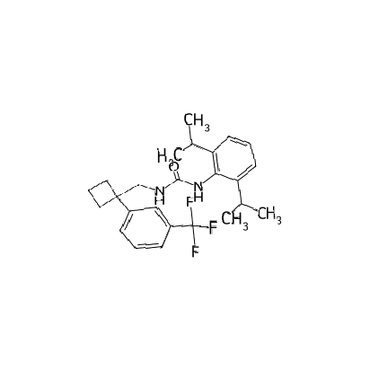 CC(C)c1cccc(C(C)C)c1NC(=O)NCC1(c2cccc(C(F)(F)F)c2)CCC1